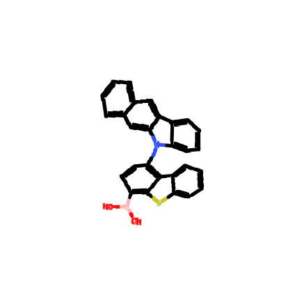 OB(O)c1ccc(-n2c3ccccc3c3cc4ccccc4cc32)c2c1sc1ccccc12